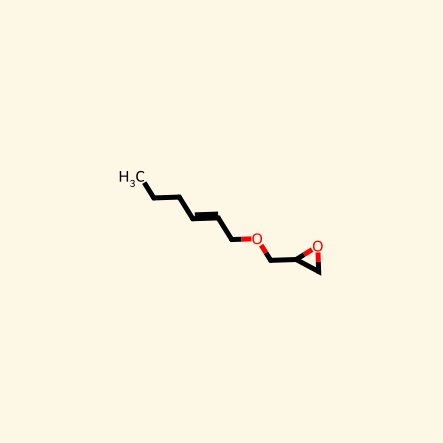 CCCC=CCOCC1CO1